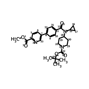 COC(=O)c1ccc(-c2ccc(C(=O)N(C3CC3)C3CCN(C(=O)OC(C)(C)C)CC3)cc2)cn1